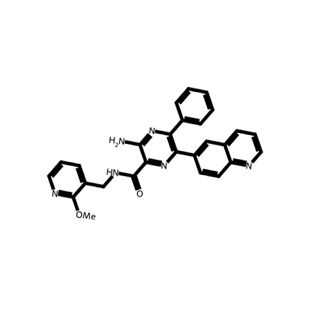 COc1ncccc1CNC(=O)c1nc(-c2ccc3ncccc3c2)c(-c2ccccc2)nc1N